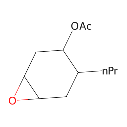 CCCC1CC2OC2CC1OC(C)=O